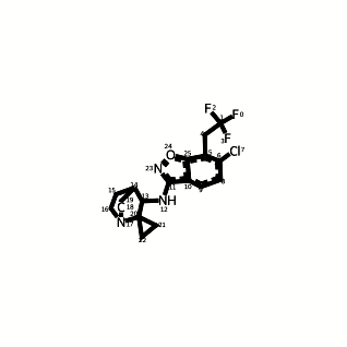 FC(F)(F)Cc1c(Cl)ccc2c(NC3C4CCN(CC4)C34CC4)noc12